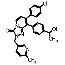 CC(O)c1ccc(-c2c(-c3ccc(Cl)cc3)ccn3c(=O)n(Cc4ccc(C(F)(F)F)nc4)nc23)cc1